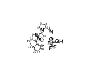 N#CC1CCCN1C1CON(C2CCCc3ccccc32)N1.O=C(O)C(F)(F)F